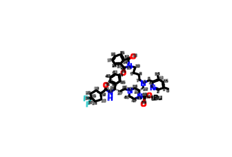 Cc1cnc(CN(CCCCN2C(=O)c3ccccc3C2=O)C[C@H]2CN(CC[C@H](NC(=O)C3CCC(F)(F)CC3)c3ccccc3)CCN2C(=O)OC(C)(C)C)c(C)c1